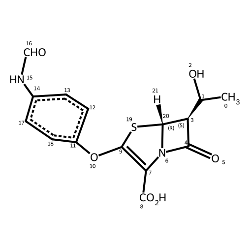 CC(O)[C@H]1C(=O)N2C(C(=O)O)=C(Oc3ccc(NC=O)cc3)S[C@H]12